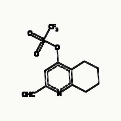 O=Cc1cc(OS(=O)(=O)C(F)(F)F)c2c(n1)CCCC2